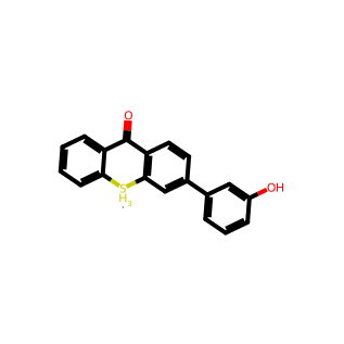 O=C1c2ccccc2[SH3]c2cc(-c3cccc(O)c3)ccc21